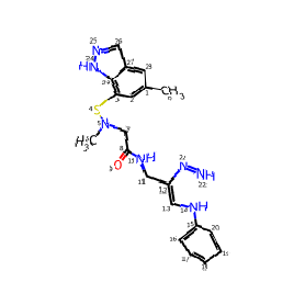 Cc1cc(SN(C)CC(=O)NC/C(=C/Nc2ccccc2)N=N)c2[nH]ncc2c1